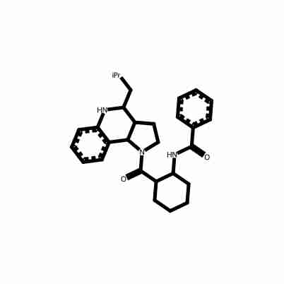 CC(C)CC1Nc2ccccc2C2C1CCN2C(=O)C1CCCCC1NC(=O)c1ccccc1